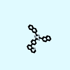 C1=CC(c2nc(-c3ccc4ccccc4c3)nc(-c3ccc4ccccc4c3)n2)CC=C1c1cccc2cccnc12